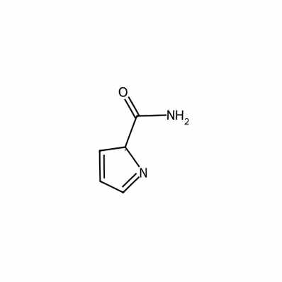 NC(=O)[C]1C=CC=N1